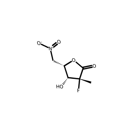 C[C@]1(F)C(=O)O[C@@H](C[N+](=O)[O-])[C@H]1O